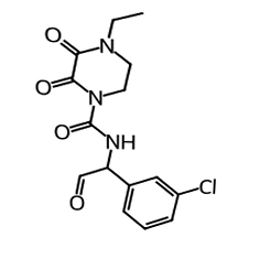 CCN1CCN(C(=O)NC(C=O)c2cccc(Cl)c2)C(=O)C1=O